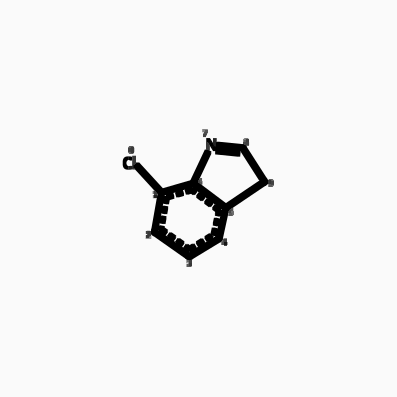 Clc1cccc2c1N=CC2